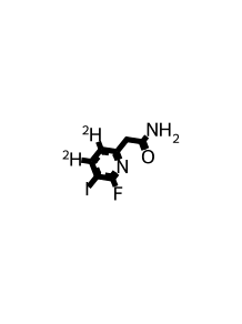 [2H]c1c(CC(N)=O)nc(F)c(I)c1[2H]